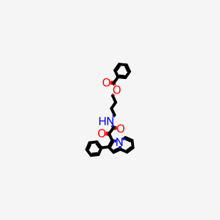 O=C(NCCCCOC(=O)c1ccccc1)C(=O)c1c(-c2ccccc2)cc2ccccn12